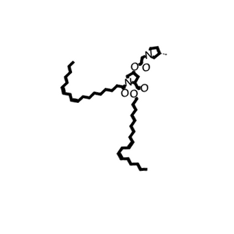 CCCCC/C=C\C/C=C\CCCCCCCCOC(=O)C1CC(OC(=O)CN2CC[C@H](C)C2)CN1C(=O)CCCCCCC/C=C\C/C=C\CCCCC